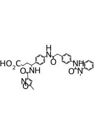 Cc1cc(C(=O)NC(CCC(=O)O)c2ccc(NC(=O)Cc3ccc(NC(=O)N(C)c4ccccc4C)cc3)cc2)no1